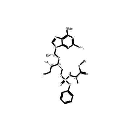 CC[C@@H](O[C@H](COP(=O)(N[C@H](C)C(=O)OC(C)C)Oc1ccccc1)[C@@H](O)CF)n1cnc2c(NC)nc(N)nc21